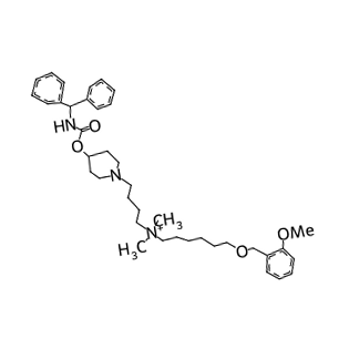 COc1ccccc1COCCCCCC[N+](C)(C)CCCCN1CCC(OC(=O)NC(c2ccccc2)c2ccccc2)CC1